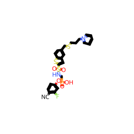 N#Cc1ccc(OP(=O)(O)CNS(=O)(=O)c2cc3cc(CSCCC[n+]4ccccc4)ccc3s2)cc1F